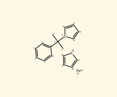 CC(C)(c1ccccc1)[c-]1cccc1.[Fe+2].c1cc[cH-]c1